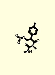 CNC(=S)N(C)C(=O)C(CN=S(=O)=O)c1ccc(C)cc1